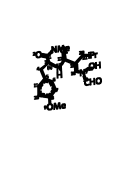 CNC(=O)[C@H](Cc1ccc(OC)cc1)NC(=O)C(=CN(O)C=O)CC(C)C